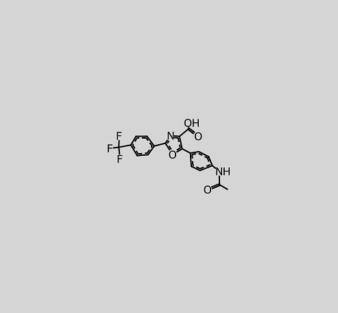 CC(=O)Nc1ccc(-c2oc(-c3ccc(C(F)(F)F)cc3)nc2C(=O)O)cc1